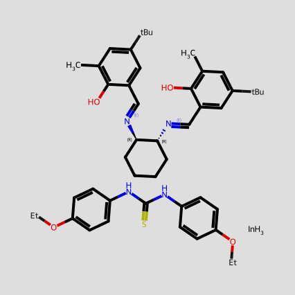 CCOc1ccc(NC(=S)Nc2ccc(OCC)cc2)cc1.Cc1cc(C(C)(C)C)cc(/C=N/[C@@H]2CCCC[C@H]2/N=C/c2cc(C(C)(C)C)cc(C)c2O)c1O.[InH3]